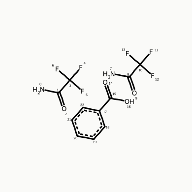 NC(=O)C(F)(F)F.NC(=O)C(F)(F)F.O=C(O)c1ccccc1